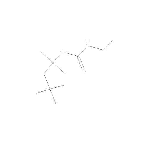 CCNC(=O)OC(C)(C)CC(C)(C)C